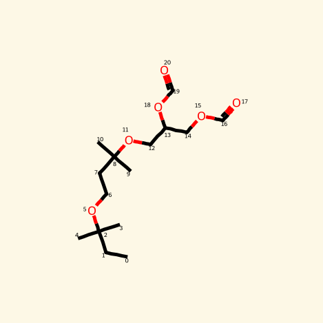 CCC(C)(C)OCCC(C)(C)OCC(COC=O)OC=O